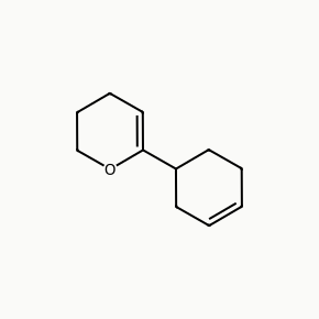 C1=CCC(C2=CCCCO2)CC1